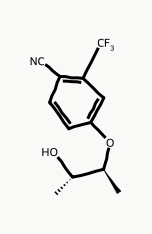 C[C@H](O)[C@H](C)Oc1ccc(C#N)c(C(F)(F)F)c1